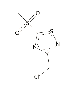 CS(=O)(=O)c1nc(CCl)ns1